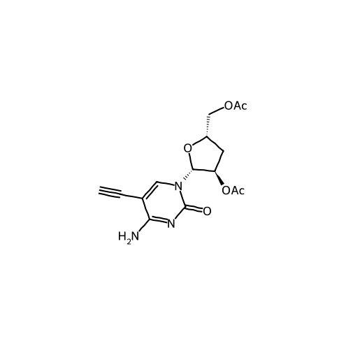 C#Cc1cn([C@@H]2O[C@H](COC(C)=O)C[C@H]2OC(C)=O)c(=O)nc1N